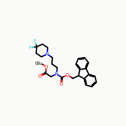 CC(C)(C)OC(=O)CN(CCCN1CCC(F)(F)CC1)C(=O)OCC1c2ccccc2-c2ccccc21